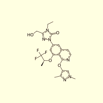 CCn1c(CO)nn(-c2cc(O[C@@H](C)C(F)(F)F)c3c(Oc4cn(C)nc4C)nccc3c2)c1=O